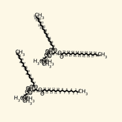 CCCCCCCCCCCCCCCCCC(=O)OCC(COP(=O)([O-])OCC[N+](C)(C)C)OC(=O)CCCCCCCCCCCCCCCCC.CCCCCCCCCCCCCCCCCC(=O)OC[C@H](COP(=O)([O-])OCC[N+](C)(C)C)OC(=O)CCCCCCCCCCCCCCCCC